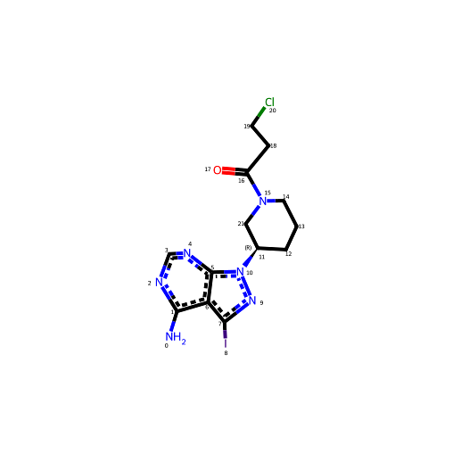 Nc1ncnc2c1c(I)nn2[C@@H]1CCCN(C(=O)CCCl)C1